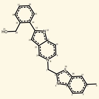 Cc1ccc2nc(Cn3ccc4nc(-c5ccccc5CO)cc-4c3)sc2c1